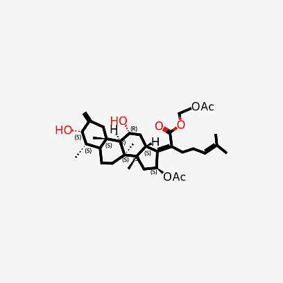 C=C1C[C@@]2(C)C(CC[C@@]3(C)[C@@H]2[C@H](O)C[C@@H]2C(=C(CCC=C(C)C)C(=O)OCOC(C)=O)[C@@H](OC(C)=O)C[C@@]23C)[C@H](C)[C@@H]1O